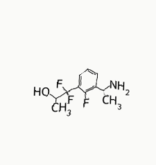 CC(O)C(F)(F)c1cccc([C@@H](C)N)c1F